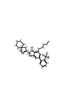 CCCCCc1cc(-c2ccccc2C(F)(F)F)cc2nc(C3=NOC4(CCCCC4)C3)[nH]c12